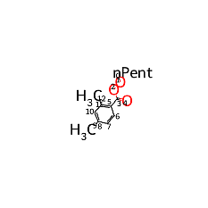 [CH2]CCCCOOC(=O)c1ccc(C)cc1C